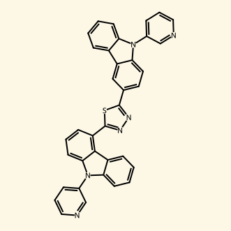 c1cncc(-n2c3ccccc3c3cc(-c4nnc(-c5cccc6c5c5ccccc5n6-c5cccnc5)s4)ccc32)c1